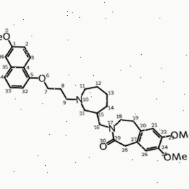 COc1ccc2c(OCCCN3CCCCC(CN4CCc5cc(OC)c(OC)cc5CC4=O)C3)cccc2c1